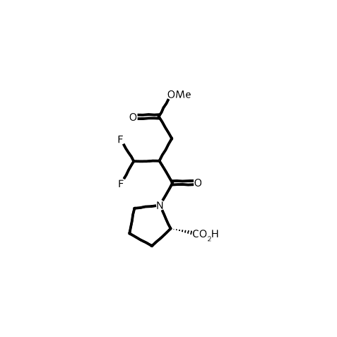 COC(=O)CC(C(=O)N1CCC[C@H]1C(=O)O)C(F)F